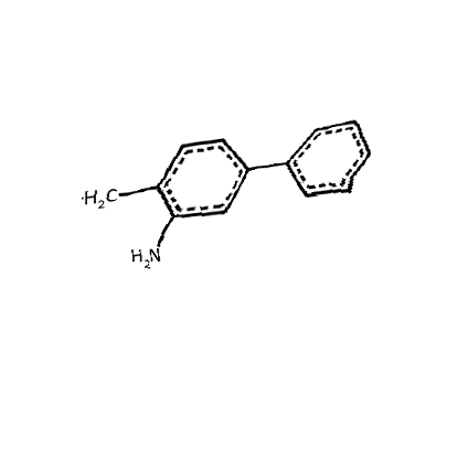 [CH2]c1ccc(-c2ccccc2)cc1N